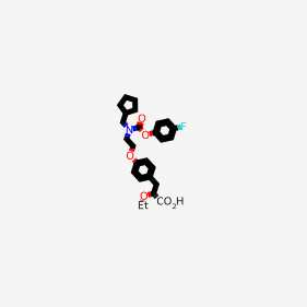 CCOC(Cc1ccc(OCCN(CC2CCCC2)C(=O)Oc2ccc(F)cc2)cc1)C(=O)O